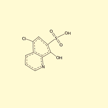 O=S(=O)(O)c1cc(Cl)c2cccnc2c1O